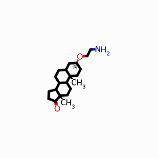 C[C@]12CC[C@H](OCCN)CC1CCC1C2CC[C@]2(C)C(=O)CCC12